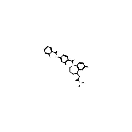 COc1cc(NC(=O)c2ccccc2Br)ccc1C(=O)N1CCCC(CC(=O)N(C)C)c2cc(F)ccc21